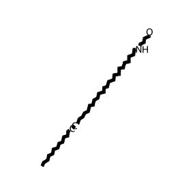 CCCCCCCCCCCCCCCCCCCCCCCCCCCCCCCCCCCCCCNCCCC=O